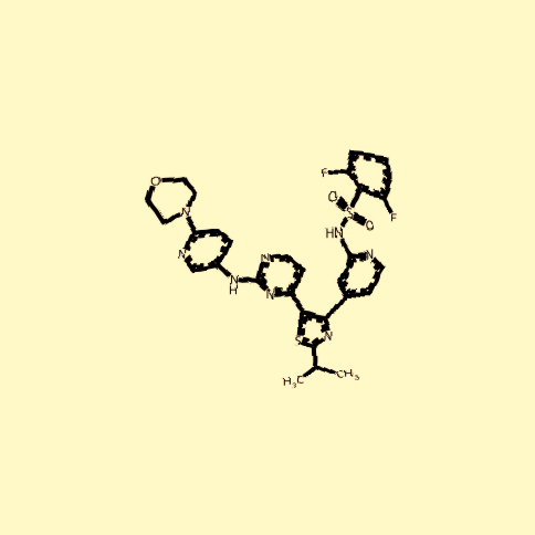 CC(C)c1nc(-c2ccnc(NS(=O)(=O)c3c(F)cccc3F)c2)c(-c2ccnc(Nc3ccc(N4CCOCC4)nc3)n2)s1